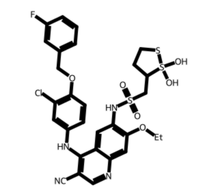 CCOc1cc2ncc(C#N)c(Nc3ccc(OCc4cccc(F)c4)c(Cl)c3)c2cc1NS(=O)(=O)CC1CCSS1(O)O